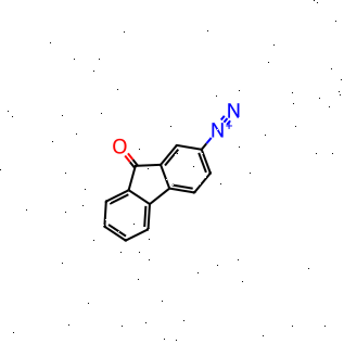 N#[N+]c1ccc2c(c1)C(=O)c1ccccc1-2